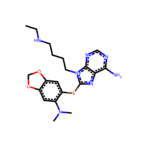 CCNCCCCn1c(Sc2cc3c(cc2N(C)C)OCO3)nc2c(N)ncnc21